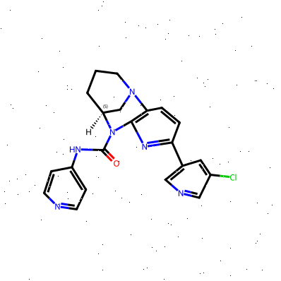 O=C(Nc1ccncc1)N1c2nc(-c3cncc(Cl)c3)ccc2N2CCC[C@H]1C2